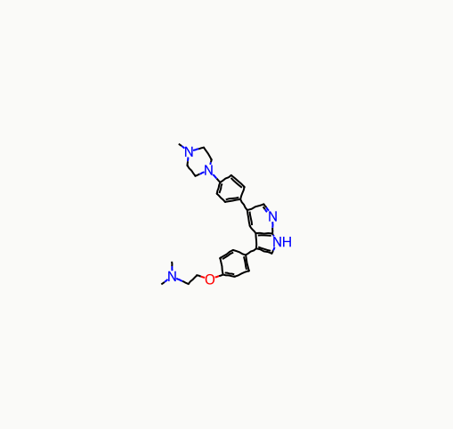 CN(C)CCOc1ccc(-c2c[nH]c3ncc(-c4ccc(N5CCN(C)CC5)cc4)cc23)cc1